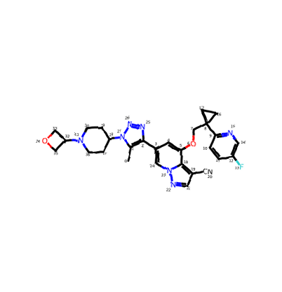 Cc1c(-c2cc(OCC3(c4ccc(F)cn4)CC3)c3c(C#N)cnn3c2)nnn1C1CCN(C2COC2)CC1